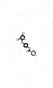 O=C(Oc1ccc(Oc2ncc(Cl)cc2Cl)cc1)N1CCOCC1